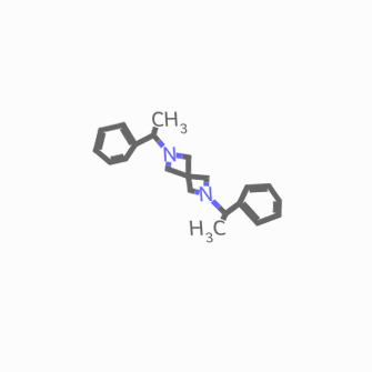 CC(c1ccccc1)N1CC2(C1)CN(C(C)c1ccccc1)C2